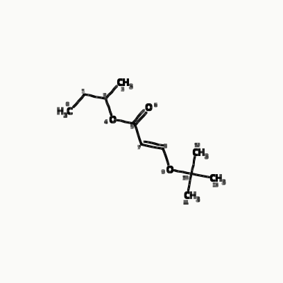 CCC(C)OC(=O)C=COC(C)(C)C